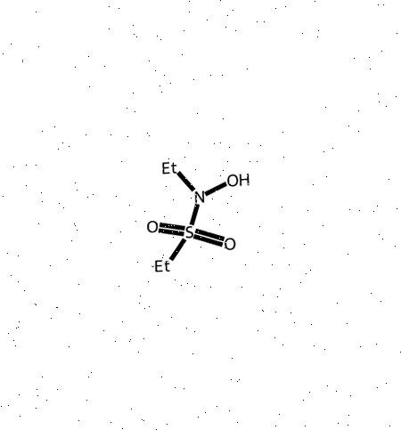 C[CH]S(=O)(=O)N(O)CC